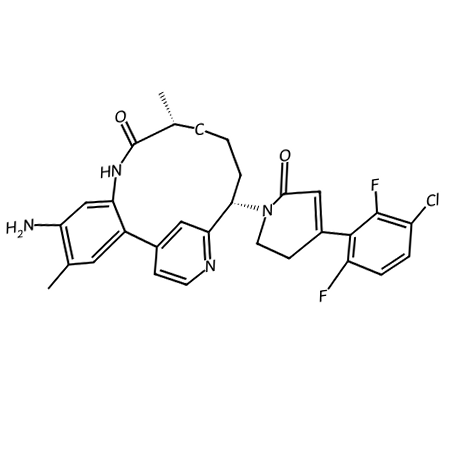 Cc1cc2c(cc1N)NC(=O)[C@H](C)CCC[C@H](N1CCC(c3c(F)ccc(Cl)c3F)=CC1=O)c1cc-2ccn1